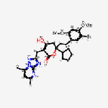 CCc1cc(CCC2(C3CCCC3)CC(O)=C(Cc3nc4nc(C)cc(C)n4n3)C(=O)O2)c(OC)cc1OC